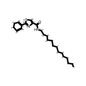 CCCCCCCCCCCCCCNC(=O)c1csc(C2=CCCC=C2)n1